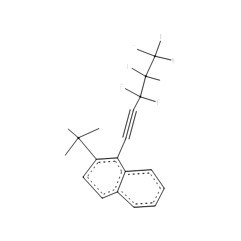 CC(C)(C)c1ccc2ccccc2c1C#CC(F)(F)C(F)(F)C(F)(F)F